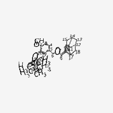 COc1ccc(COC=C2C3CC4CC(C3)CC2C4)cc1O[Si](C)(C)C(C)(C)C